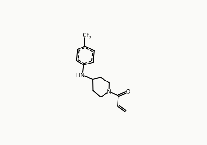 C=CC(=O)N1CCC(Nc2ccc(C(F)(F)F)cc2)CC1